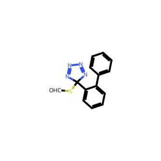 O=CSC1(c2ccccc2-c2ccccc2)N=NN=N1